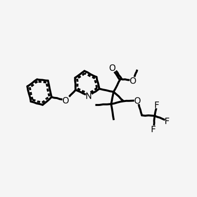 COC(=O)C1(c2cccc(Oc3ccccc3)n2)C(OCC(F)(F)F)C1(C)C